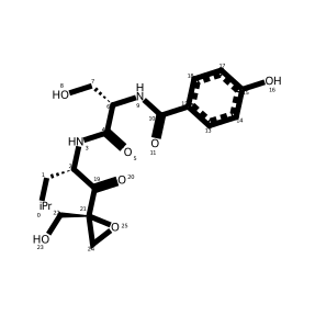 CC(C)C[C@H](NC(=O)[C@H](CO)NC(=O)c1ccc(O)cc1)C(=O)[C@@]1(CO)CO1